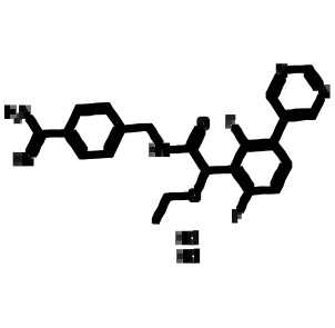 CCOC(C(=O)NCc1ccc(C(=N)N)cc1)c1c(F)ccc(-c2cncnc2)c1F.Cl.Cl